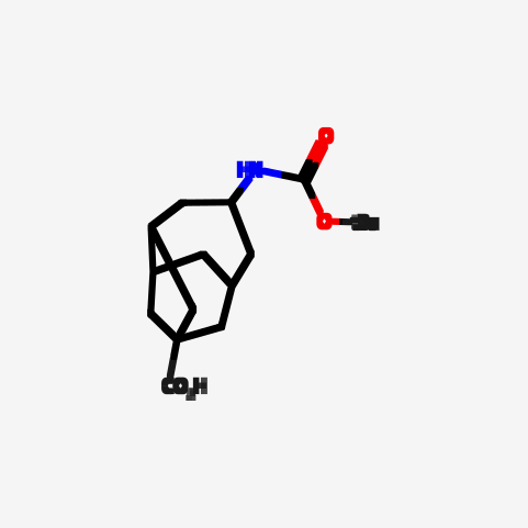 CC(C)(C)OC(=O)NC1CC2CC3CC(C(=O)O)(C2)CC3C1